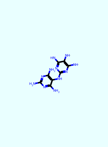 [NH]c1nc(Nc2c(N)nc(N)nc2N)nc([NH])c1[NH]